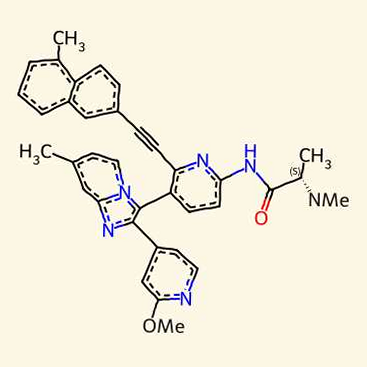 CN[C@@H](C)C(=O)Nc1ccc(-c2c(-c3ccnc(OC)c3)nc3cc(C)ccn23)c(C#Cc2ccc3c(C)cccc3c2)n1